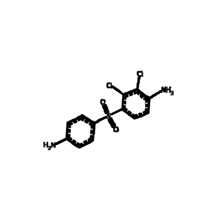 Nc1ccc(S(=O)(=O)c2ccc(N)c(Cl)c2Cl)cc1